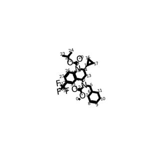 COC(=O)N(CC1CC=CCC1)[C@@H]1C[C@H](C2CC2)N(C(=O)OC(C)C)c2ccc(C(F)(F)F)cc21